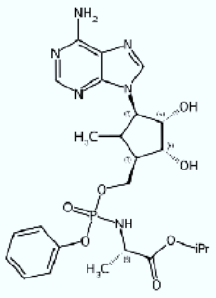 CC(C)OC(=O)[C@H](C)NP(=O)(OC[C@H]1C(C)[C@@H](n2cnc3c(N)ncnc32)[C@H](O)[C@@H]1O)Oc1ccccc1